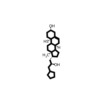 C[C@]12CCC3[C@@H](CC=C4C[C@@H](O)CC[C@@]43S)C1CC[C@@H]2C[C@@H](O)CC1CCCC1